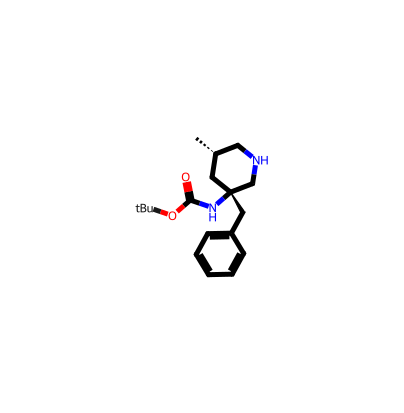 C[C@@H]1CNC[C@](Cc2ccccc2)(NC(=O)OC(C)(C)C)C1